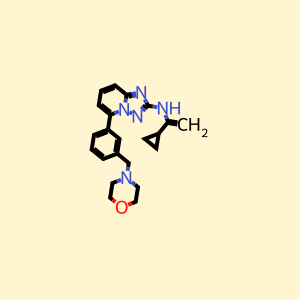 C=C(Nc1nc2cccc(-c3cccc(CN4CCOCC4)c3)n2n1)C1CC1